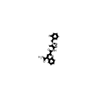 Cc1c(NC(=O)c2cc(C(N)=O)c3ccccc3n2)nnn1Cc1ccccc1F